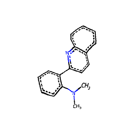 CN(C)c1ccccc1-c1ccc2ccccc2n1